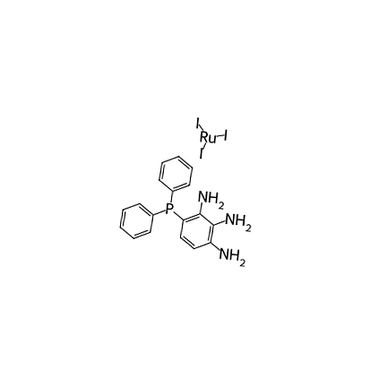 Nc1ccc(P(c2ccccc2)c2ccccc2)c(N)c1N.[I][Ru]([I])[I]